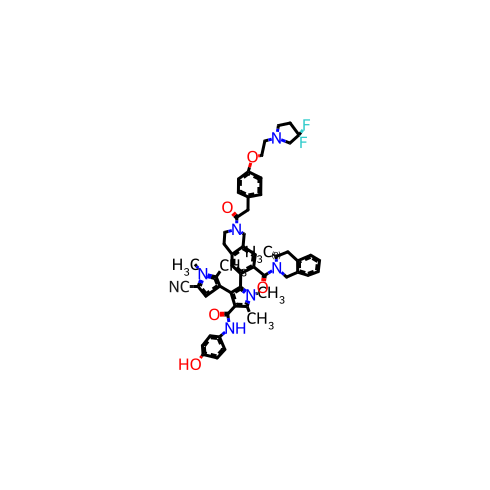 Cc1c(-c2c(C(=O)Nc3ccc(O)cc3)c(C)n(C)c2-c2cc3c(cc2C(=O)N2Cc4ccccc4C[C@H]2C)CN(C(=O)Cc2ccc(OCCN4CCC(F)(F)C4)cc2)CC3)cc(C#N)n1C